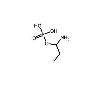 NC(CI)OP(=O)(O)O